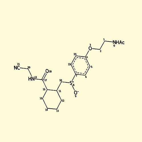 CC(=O)NCCOc1ccc([S+]([O-])CC2CCCCC2C(=O)NCC#N)cc1